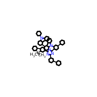 C[Si]1(C)c2ccccc2-c2ccc(-c3nc(-c4cccc(-c5ccccc5)c4)nc(-c4ccc(-c5ccccc5)cc4-n4c5ccccc5c5c(-c6cccc7c6c6ccccc6n7-c6ccccc6)cccc54)n3)cc21